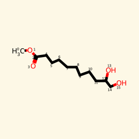 COC(=O)CCCCCCCCC(O)CO